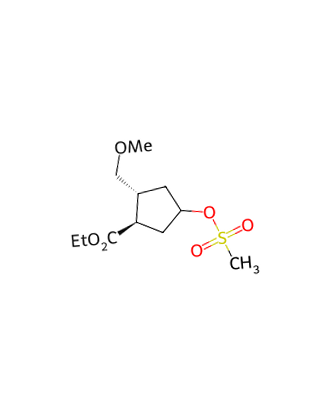 CCOC(=O)[C@@H]1CC(OS(C)(=O)=O)C[C@H]1COC